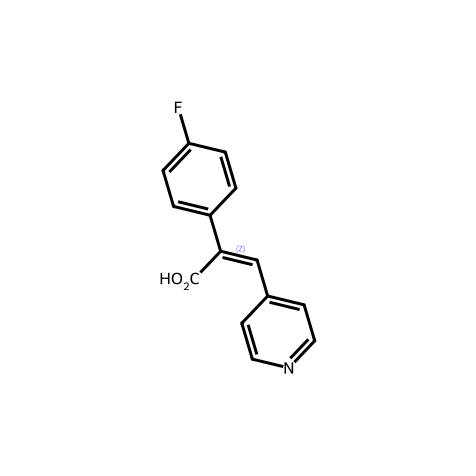 O=C(O)/C(=C\c1ccncc1)c1ccc(F)cc1